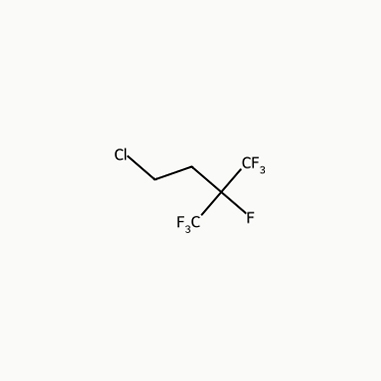 FC(F)(F)C(F)(CCCl)C(F)(F)F